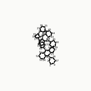 c1ccc(-c2c3ccccc3c(-c3ccc(-c4cccc5c4C4(c6ccccc6-5)c5ccccc5N(c5ccccc5)c5ccccc54)nc3)c3ccccc23)cc1